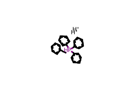 [H+].[H+].c1ccc(C[PH](c2ccccc2)(c2ccccc2)c2ccccc2)cc1